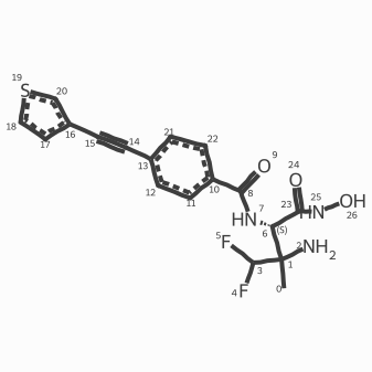 CC(N)(C(F)F)[C@H](NC(=O)c1ccc(C#Cc2ccsc2)cc1)C(=O)NO